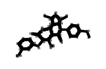 COc1ccc(-n2c(=O)c3c(O)c(Sc4cccc(Cl)c4)c(=O)oc3c3c(C)nn(C)c32)cc1